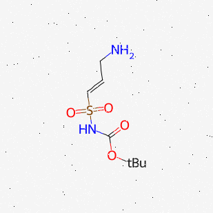 CC(C)(C)OC(=O)NS(=O)(=O)/C=C/CN